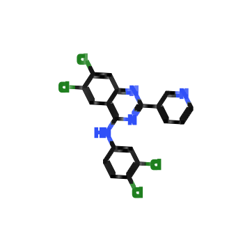 Clc1ccc(Nc2nc(-c3cccnc3)nc3cc(Cl)c(Cl)cc23)cc1Cl